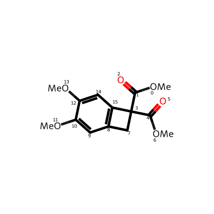 COC(=O)C1(C(=O)OC)Cc2cc(OC)c(OC)cc21